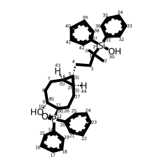 CC(C)(CC[C@H]1[C@@H]2CC[C@@H](O)[C@H](P(=O)(c3ccccc3)c3ccccc3)CC[C@@H]21)[Si](O)(c1ccccc1)c1ccccc1